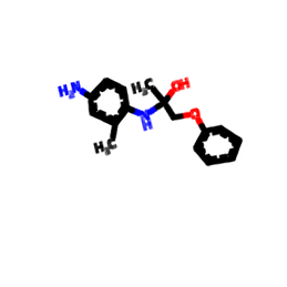 Cc1cc(N)ccc1NC(C)(O)COc1ccccc1